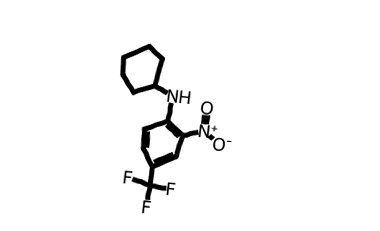 O=[N+]([O-])c1cc(C(F)(F)F)ccc1NC1CCCCC1